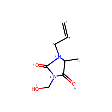 C=CCN1C(=O)N(CO)C(=O)C1C